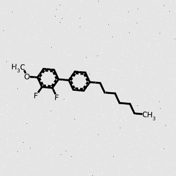 CCCCCCCc1ccc(-c2ccc(OC)c(F)c2F)cc1